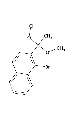 COC(C)(OC)c1ccc2ccccc2c1Br